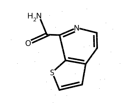 NC(=O)c1nccc2ccsc12